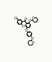 O=C(c1cc(Cl)ccc1Cl)c1cc(Oc2ccc(OC3CCCCO3)cc2)ccc1OC1CCCCO1